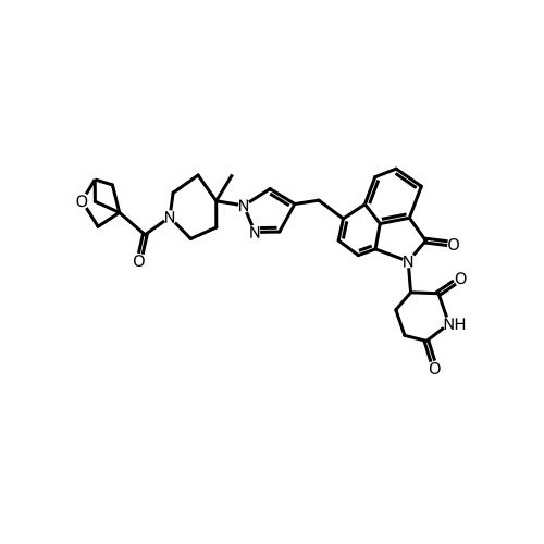 CC1(n2cc(Cc3ccc4c5c(cccc35)C(=O)N4C3CCC(=O)NC3=O)cn2)CCN(C(=O)C23COC(C2)C3)CC1